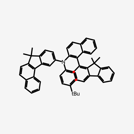 CC(C)(C)c1ccc(N(c2ccc3c(c2)-c2c(ccc4ccccc24)C3(C)C)c2ccc3ccccc3c2-c2cccc3c2C(C)(C)c2ccccc2-3)cc1